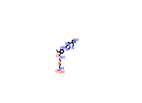 CCc1cc(Nc2nccn3c(-c4c[nH]nc4C#N)cnc23)ccc1C(=O)NCCOCCNC(=O)O